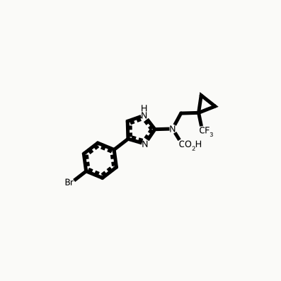 O=C(O)N(CC1(C(F)(F)F)CC1)c1nc(-c2ccc(Br)cc2)c[nH]1